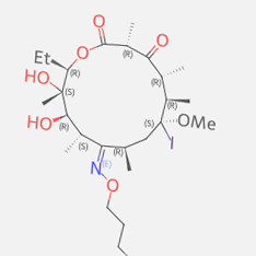 CC[C@H]1OC(=O)[C@H](C)C(=O)[C@H](C)[C@@H](C)[C@](I)(OC)C[C@@H](C)/C(=N\OCCCF)[C@H](C)[C@@H](O)[C@]1(C)O